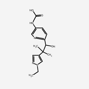 CCn1cc(C(C)(C)C(O)c2ccc(NC(=O)O)cn2)cn1